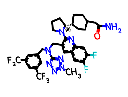 Cn1nnc(N(Cc2cc(C(F)(F)F)cc(C(F)(F)F)c2)Cc2cc3cc(F)c(F)cc3nc2N2CCC[C@@H]2C2CCC(CC(N)=O)CC2)n1